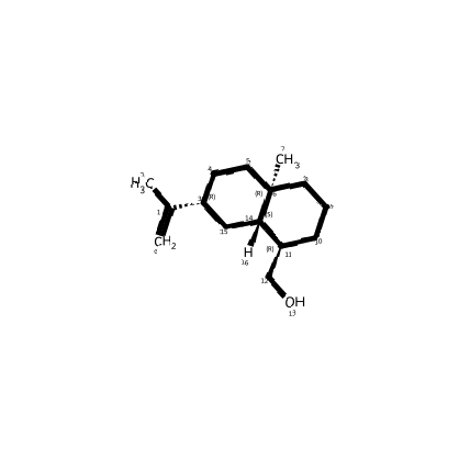 C=C(C)[C@@H]1CC[C@@]2(C)CCC[C@@H](CO)[C@@H]2C1